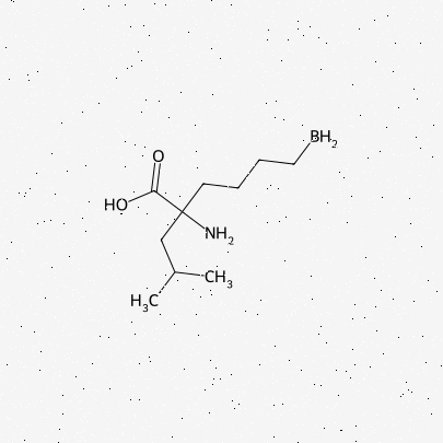 BCCCCC(N)(CC(C)C)C(=O)O